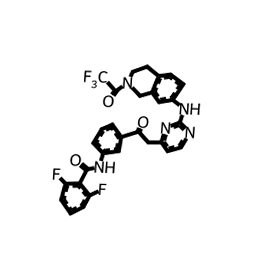 O=C(Cc1ccnc(Nc2ccc3c(c2)CN(C(=O)C(F)(F)F)CC3)n1)c1cccc(NC(=O)c2c(F)cccc2F)c1